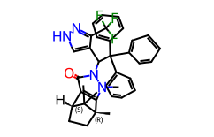 Cn1c2c(c(=O)n1C(c1c[nH]nc1C(F)(F)F)C(c1ccccc1)(c1ccccc1)c1ccccc1)[C@H]1CC[C@]2(C)C1(C)C